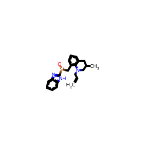 C=CCN1CC(C)Cc2cccc(C[S+]([O-])c3nc4ccccc4[nH]3)c21